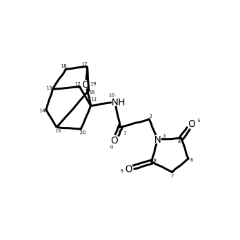 O=C(CN1C(=O)CCC1=O)NC12CC3CC(CC(C3)O1)C2